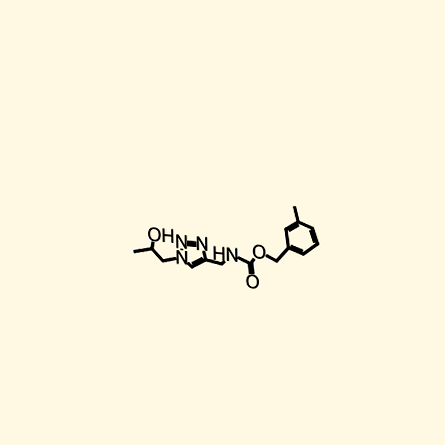 Cc1cccc(COC(=O)NCc2cn(CC(C)O)nn2)c1